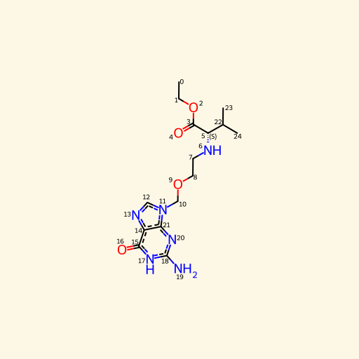 CCOC(=O)[C@@H](NCCOCn1cnc2c(=O)[nH]c(N)nc21)C(C)C